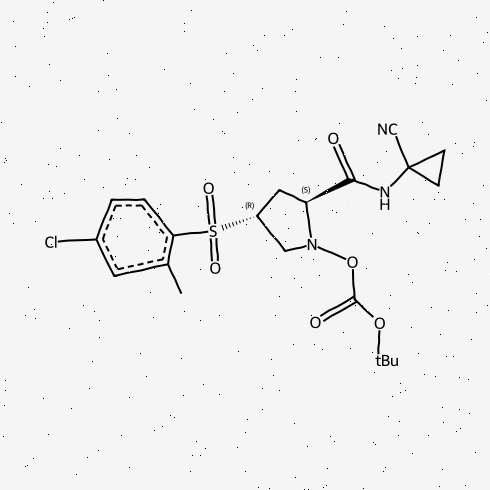 Cc1cc(Cl)ccc1S(=O)(=O)[C@@H]1C[C@@H](C(=O)NC2(C#N)CC2)N(OC(=O)OC(C)(C)C)C1